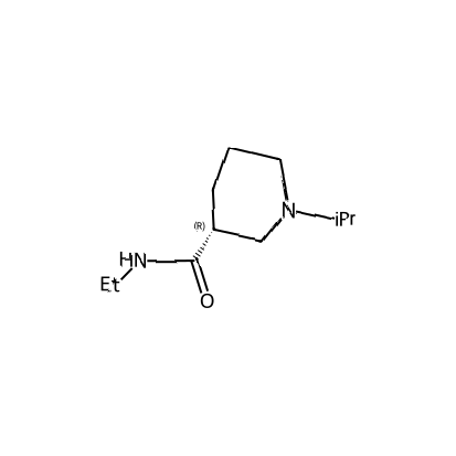 CCNC(=O)[C@@H]1CCCN(C(C)C)C1